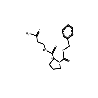 NC(=O)CCNC(=O)[C@@H]1CCCN1C(=O)OCc1ccccc1